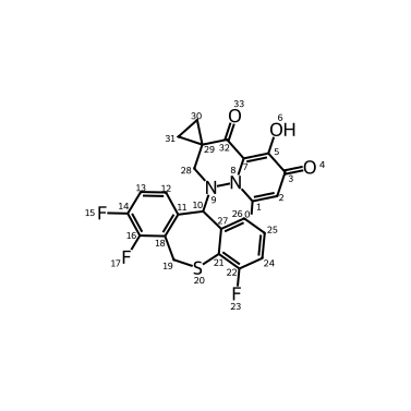 Cc1cc(=O)c(O)c2n1N(C1c3ccc(F)c(F)c3CSc3c(F)cccc31)CC1(CC1)C2=O